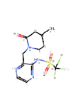 CC1CCN(Cc2nccnc2NS(=O)(=O)C(F)(F)F)C(=O)C1